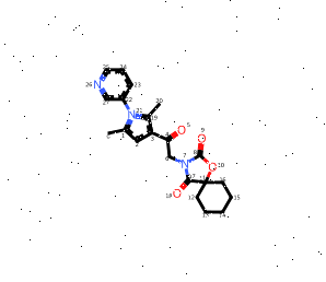 Cc1cc(C(=O)CN2C(=O)OC3(CCCCC3)C2=O)c(C)n1-c1cccnc1